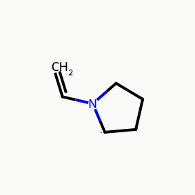 C=CN1[CH]CCC1